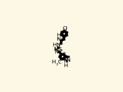 Cc1cc(-c2nnc(NCC(N)Cc3ccc(Cl)cc3)s2)cc2cn[nH]c12